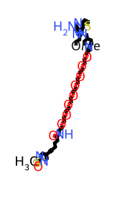 COCCc1nc2c(N)nc3ccsc3c2n1CC1CCN(CCOCCOCCOCCOCCOCCOCCOCCOCCNC(=O)CCCC#Cc2cnc([S+](C)[O-])nc2)CC1